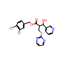 O=C(OCc1ccc(Cl)c(Cl)c1)C(CSc1ncccn1)C(O)c1cccnc1